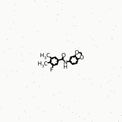 Cc1cc(C(=O)Nc2ccc3c(c2)OCO3)cc(F)c1C